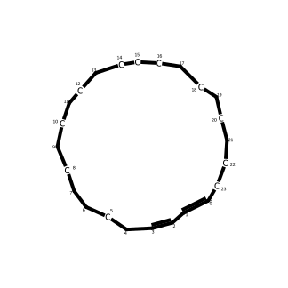 [C]1=C/C=C\CCCCCCCCCCCCCCCCCCCC/1